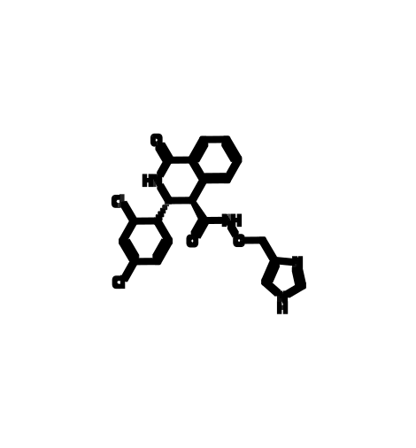 O=C1N[C@@H](C2C=CC(Cl)=CC2Cl)[C@H](C(=O)NOCc2c[nH]cn2)c2ccccc21